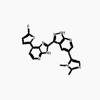 Cc1ncc(-c2cnc3[nH]nc(-c4nc5c(-c6ccc(F)s6)ccnc5[nH]4)c3c2)n1C